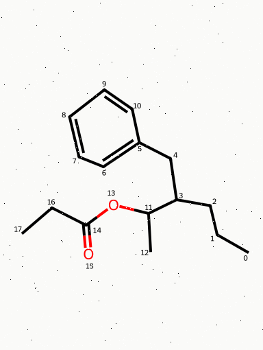 CCCC(Cc1ccccc1)C(C)OC(=O)CC